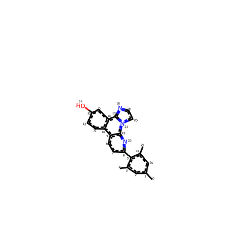 Cc1cc(C)c(-c2ccc3c4ccc(O)cc4c4nccn4c3n2)c(C)c1